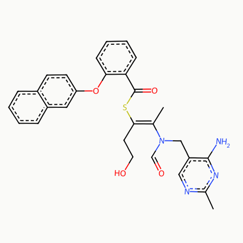 CC(=C(CCO)SC(=O)c1ccccc1Oc1ccc2ccccc2c1)N(C=O)Cc1cnc(C)nc1N